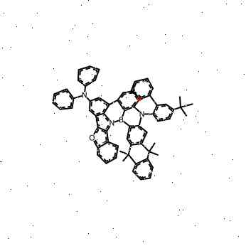 Cc1cc2c3c(c1)N(c1ccc(C(C)(C)C)cc1-c1ccccc1)c1cc4c(cc1B3n1c3c-2cc(N(c2ccccc2)c2ccccc2)cc3c2oc3ccccc3c21)C(C)(C)c1ccccc1C4(C)C